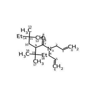 C=CCN(CC=C)C(=O)C(CC(C)(C)CC)C(C)(C)CC